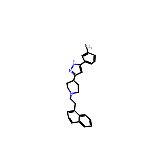 O=[N+]([O-])c1cccc(-c2cc(C3CCN(CCc4cccc5ccccc45)CC3)n[nH]2)c1